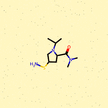 CC(C)N1CC(SN)CC1C(=O)N(C)C